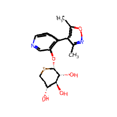 Cc1noc(C)c1-c1ccncc1O[C@H]1SC[C@@H](O)[C@H](O)[C@H]1O